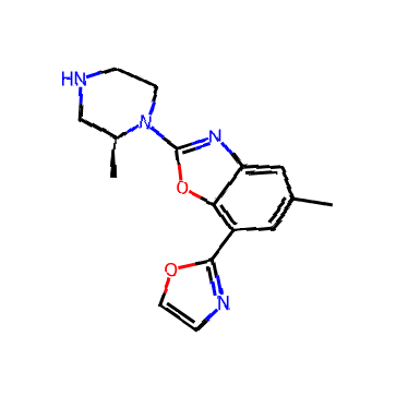 Cc1cc(-c2ncco2)c2oc(N3CCNC[C@@H]3C)nc2c1